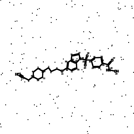 C#CCN1CCN(CCCOc2ccc3c(ccn3S(=O)(=O)c3ccc(C(=O)NO)cc3)c2)CC1